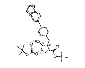 CC(C)(C)OC(=O)O[C@H]1CN(C(=O)OC(C)(C)C)[C@H](Cc2ccc(-c3cn4ccnc4s3)cc2)[C@@H]1O